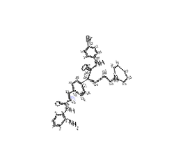 Nc1ccccc1NC(=O)/C=C/c1ccc(C(CCCN2CCCCC2)C(=O)Nc2ccc(Br)cc2)cc1